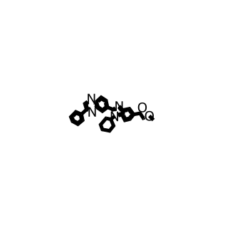 COCC(=O)c1ccc2c(c1)nc(-c1ccc3ncc(-c4ccccc4)nc3c1)n2C1CCCCC1